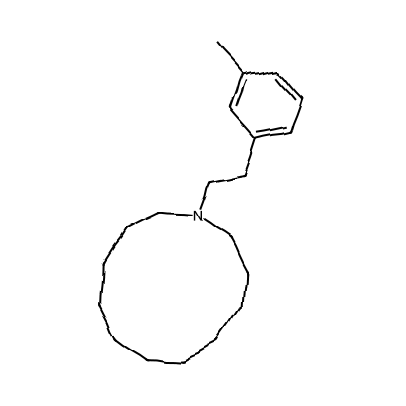 Cc1cccc(CCN2CCCCCCCCCCC2)c1